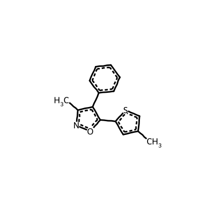 Cc1csc(-c2onc(C)c2-c2ccccc2)c1